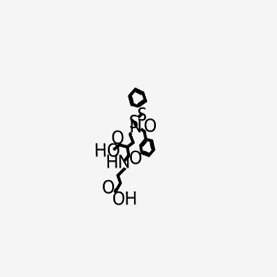 O=C(O)CCCNC(=O)C(CCN(SSc1ccccc1)C(=O)c1ccccc1)C(=O)O